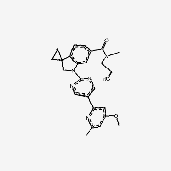 COc1cc(C)nc(-c2cnc(N3CC4(CC4)c4ccc(C(=O)N(C)CCO)cc43)nc2)c1